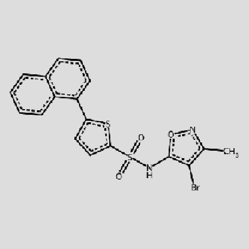 Cc1noc(NS(=O)(=O)c2ccc(-c3cccc4ccccc34)s2)c1Br